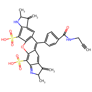 C#CCNC(=O)c1ccc(C2=c3cc4c(c(S(=O)(=O)O)c3Oc3c2cc2c(c3S(=O)(=O)O)NC(C)C2=C)=NC(C)C4=C)cc1